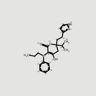 CCCN(C1=C(O)CC(CCc2cc[nH]n2)(C(C)C)OC1=O)c1ccccc1